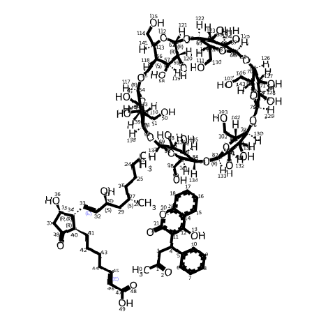 CC(=O)CC(c1ccccc1)c1c(O)c2ccccc2oc1=O.CCCC[C@H](C)C[C@H](O)/C=C/[C@H]1[C@H](O)CC(=O)[C@@H]1CCCC/C=C/C(=O)O.OC[C@H]1O[C@@H]2O[C@H]3[C@H](O)[C@@H](O)[C@@H](O[C@H]4[C@H](O)[C@@H](O)[C@@H](O[C@H]5[C@H](O)[C@@H](O)[C@@H](O[C@H]6[C@H](O)[C@@H](O)[C@@H](O[C@H]7[C@H](O)[C@@H](O)[C@@H](O[C@H]1[C@H](O)[C@H]2O)O[C@@H]7CO)O[C@@H]6CO)O[C@@H]5CO)O[C@@H]4CO)O[C@@H]3CO